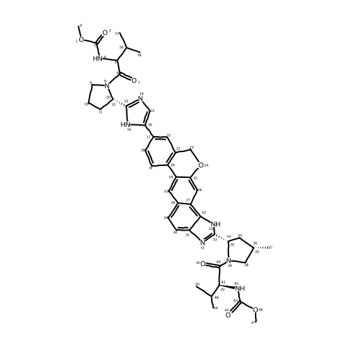 COC(=O)NC(C(=O)N1CCC[C@H]1c1ncc(-c2ccc3c(c2)COc2cc4c(ccc5nc([C@@H]6C[C@H](C)CN6C(=O)[C@@H](NC(=O)OC)C(C)C)[nH]c54)cc2-3)[nH]1)C(C)C